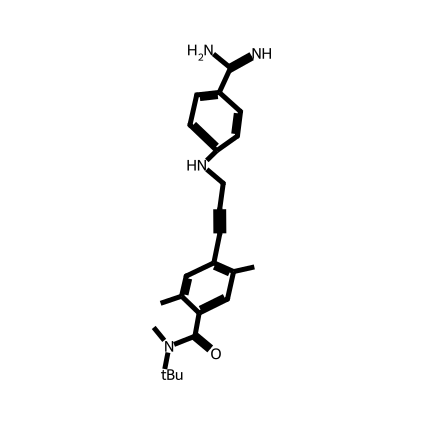 Cc1cc(C(=O)N(C)C(C)(C)C)c(C)cc1C#CCNc1ccc(C(=N)N)cc1